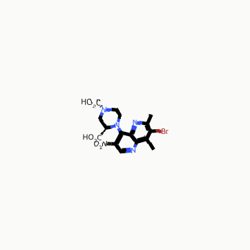 Cc1nc2c(N3CCN(C(=O)O)C[C@@H]3C(=O)O)c([N+](=O)[O-])cnc2c(C)c1Br